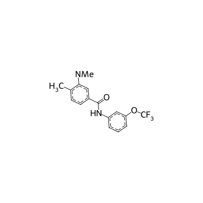 CNc1cc(C(=O)Nc2cccc(OC(F)(F)F)c2)ccc1C